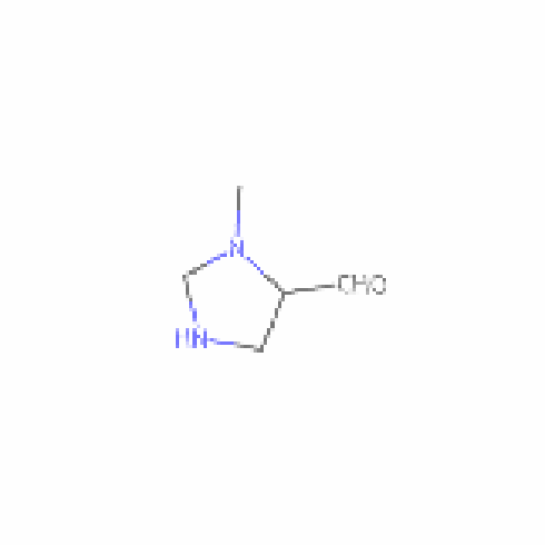 CN1CNCC1C=O